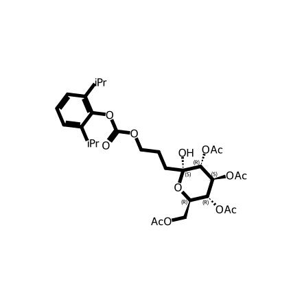 CC(=O)OC[C@H]1O[C@@](O)(CCCOC(=O)Oc2c(C(C)C)cccc2C(C)C)[C@H](OC(C)=O)[C@@H](OC(C)=O)[C@@H]1OC(C)=O